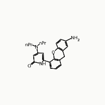 CCCN(CCC)c1cc(-c2cccc3c2Oc2ccc(N)cc2C3)[nH]c(=O)c1